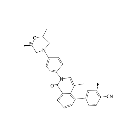 Cc1cn(-c2ccc(N3CC(C)O[C@H](C)C3)cc2)c(=O)c2cccc(-c3ccc(C#N)c(F)c3)c12